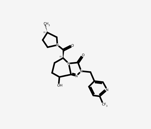 C[C@H]1CCN(C(=O)[C@@H]2CCC(O)c3nn(Cc4ccc(C(F)(F)F)nc4)c(=O)n32)C1